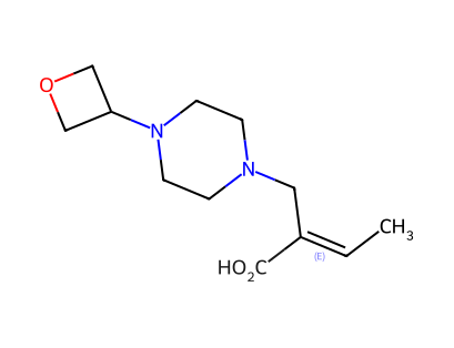 C/C=C(\CN1CCN(C2COC2)CC1)C(=O)O